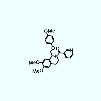 COc1ccc(OCC2c3cc(OC)c(OC)cc3CCN2C(=O)c2cccnc2)cc1